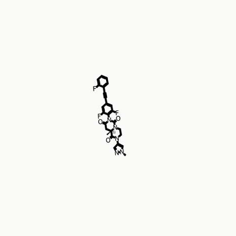 Cn1cc(N2CCN3C(=O)N(c4c(F)cc(C#Cc5ccccc5F)cc4F)C(=O)C[C@@]3(C)C2=O)cn1